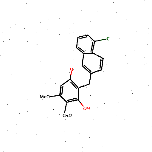 COc1cc([O])c(Cc2ccc3c(Cl)cccc3c2)c(O)c1C=O